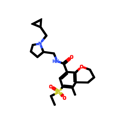 CCS(=O)(=O)c1cc(C(=O)NCC2CCCN2CC2CC2)c2c(c1C)CCCO2